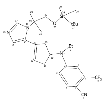 CCN(c1ccc(C#N)c(C(F)(F)F)c1)C1CC=C(c2cncn2C(C)(C)CO[Si](C)(C)C(C)(C)C)C1